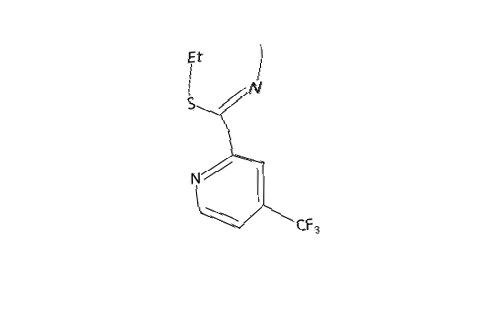 CCSC(=NC)c1cc(C(F)(F)F)ccn1